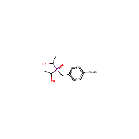 COc1ccc(CP(=O)(C(C)O)C(C)O)cc1